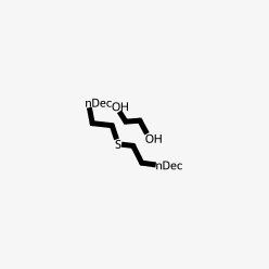 CCCCCCCCCCCCSCCCCCCCCCCCC.OCCO